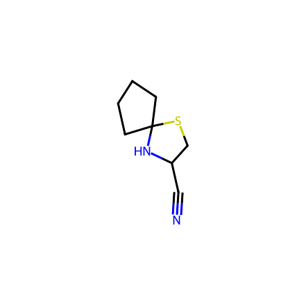 N#CC1CSC2(CCCC2)N1